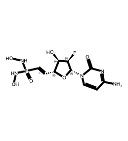 Nc1ccn([C@@H]2O[C@H](/C=C/P(=O)(NO)NO)[C@@H](O)[C@H]2F)c(=O)n1